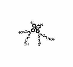 CN=c1ccn(C(c2ccc(N(CCOCCO)CCOCCOCCO)cc2)(c2ccc(N(CCOCCN=O)CCOCCOCCO)cc2)C2C=CC(N(C)C)=CC2)cc1